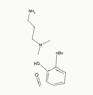 C=O.CCCCc1ccccc1O.CN(C)CCCN